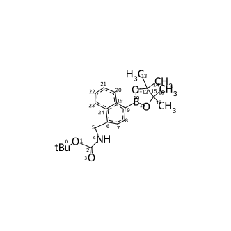 CC(C)(C)OC(=O)NCc1ccc(B2OC(C)(C)C(C)(C)O2)c2ccccc12